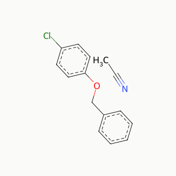 CC#N.Clc1ccc(OCc2ccccc2)cc1